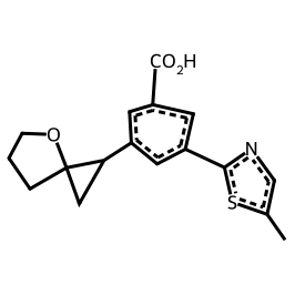 Cc1cnc(-c2cc(C(=O)O)cc(C3CC34CCCO4)c2)s1